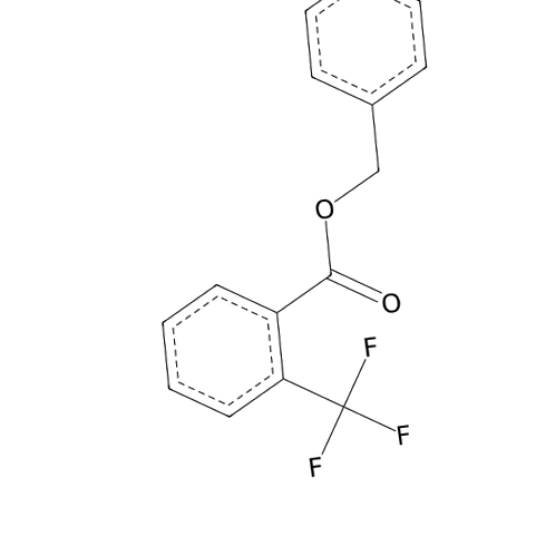 O=C(OCc1ccccc1)c1ccccc1C(F)(F)F